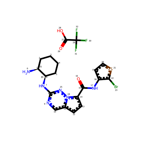 N[C@H]1CCCC[C@H]1Nc1ncc2ccc(C(=O)Nc3ccsc3Br)n2n1.O=C(O)C(F)(F)F